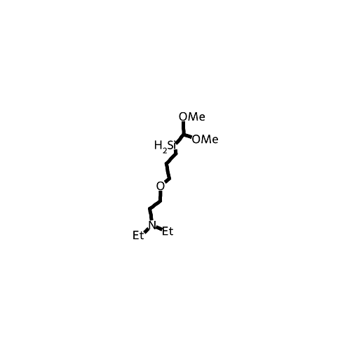 CCN(CC)CCOCCC[SiH2]C(OC)OC